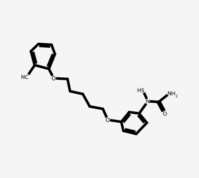 N#Cc1ccccc1OCCCCCOc1cccc(N(S)C(N)=O)c1